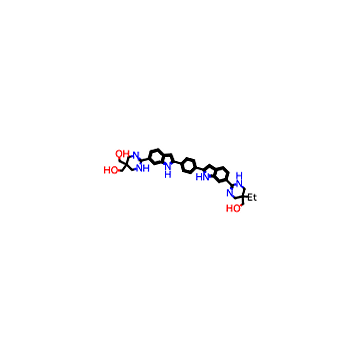 CCC1(CO)CN=C(c2ccc3cc(-c4ccc(-c5cc6ccc(C7=NCC(CO)(CO)CN7)cc6[nH]5)cc4)[nH]c3c2)NC1